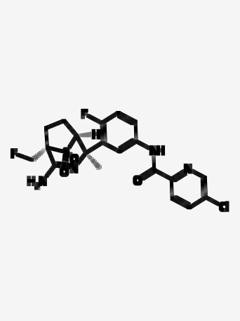 C[C@]1(c2cc(NC(=O)c3ccc(Cl)cn3)ccc2F)N=C(N)[C@@]2(CF)CC[C@@H]1S2(=O)=O